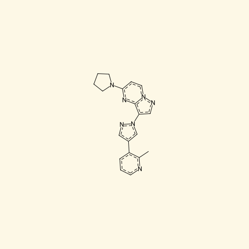 Cc1ncccc1-c1cnn(-c2cnn3ccc(N4CCCC4)nc23)c1